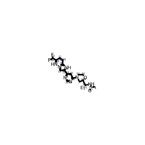 CCC(N[S+](C)[O-])C1CN(c2cc(-c3cnc(/C=C\C(=N)C(F)F)[nH]3)ncn2)CCO1